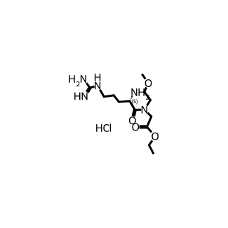 CCOC(=O)CN(CCOC)C(=O)[C@@H](N)CCCNC(=N)N.Cl